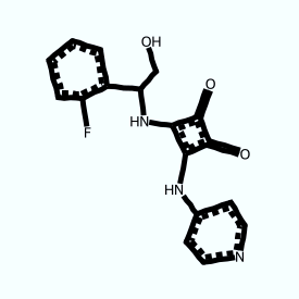 O=c1c(Nc2ccncc2)c(NC(CO)c2ccccc2F)c1=O